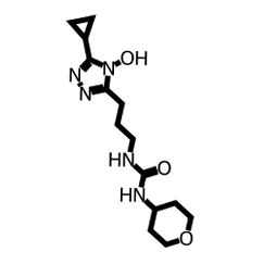 O=C(NCCCc1nnc(C2CC2)n1O)NC1CCOCC1